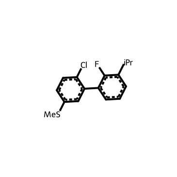 CSc1ccc(Cl)c(-c2cccc(C(C)C)c2F)c1